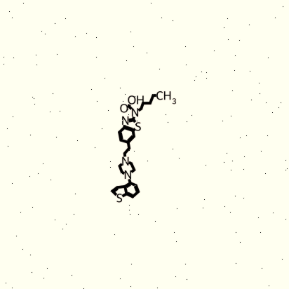 CCCCCN(C(=O)O)c1nc2ccc(CCN3CCN(c4cccc5sccc45)CC3)cc2s1